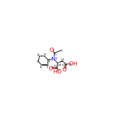 CC(=O)N(C1C=CCCC1)[C@@H](CC(=O)O)C(=O)O